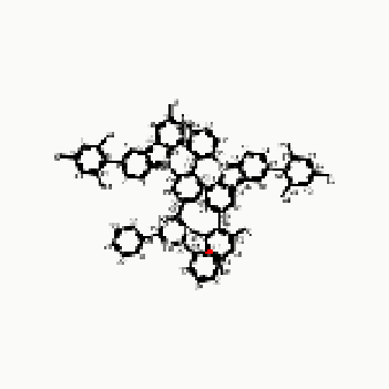 Cc1cc(C)c(-c2ccc3c(c2)c2cc(C)ccc2n3-c2cc(-c3nc(-c4ccccc4)nc(-c4ccccc4)n3)ccc2-c2cc(C(F)(F)F)ccc2-n2c3ccc(-c4c(C)cc(C)cc4C)cc3c3cc(-c4c(C)cc(C)cc4C)ccc32)c(C)c1